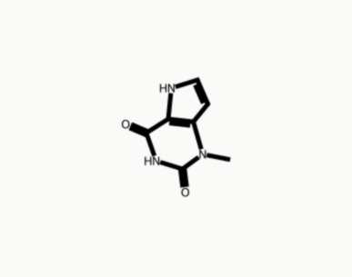 Cn1c(=O)[nH]c(=O)c2[nH]ccc21